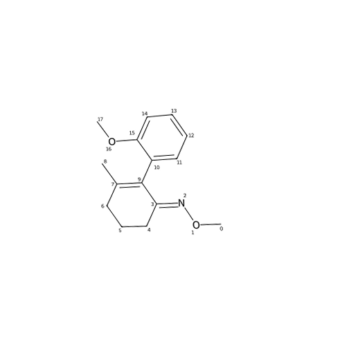 CON=C1CCCC(C)=C1c1ccccc1OC